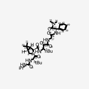 CCCCC(NC(=O)[C@@H]1[C@H]2[C@@H](CN1C(=O)[C@@H](NC(=O)NC(C)C)C(C)(C)C)C2(C)C)C(=O)C(=O)NCC(=O)N[C@H](C(=O)N(C)C)c1ccccc1